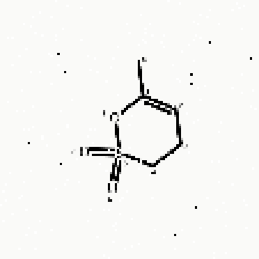 CC1=CCCS(=O)(=O)O1